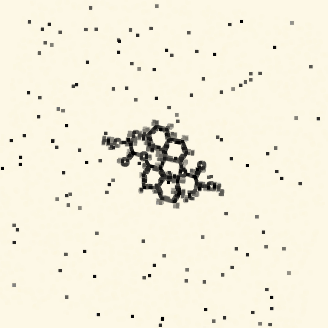 CN(C)C(=O)Oc1ccc2cccnc2c1-c1c(OC(=O)N(C)C)ccc2cccnc12